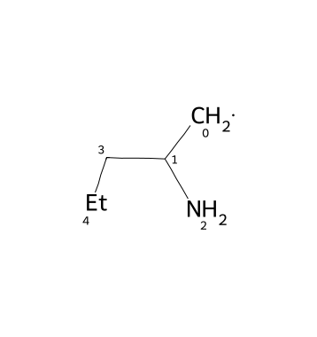 [CH2]C(N)CCC